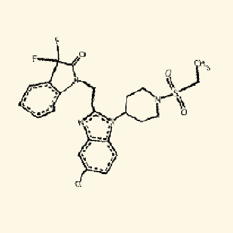 CCS(=O)(=O)N1CCC(n2c(CN3C(=O)C(F)(F)c4ccccc43)nc3cc(Cl)ccc32)CC1